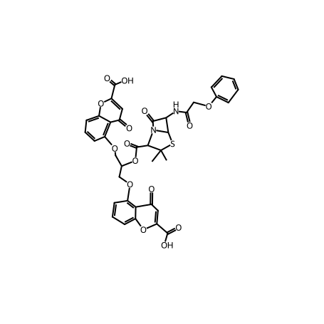 CC1(C)SC2C(NC(=O)COc3ccccc3)C(=O)N2C1C(=O)OC(COc1cccc2oc(C(=O)O)cc(=O)c12)COc1cccc2oc(C(=O)O)cc(=O)c12